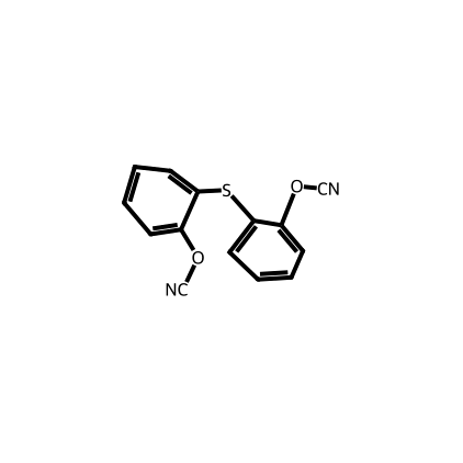 N#COc1ccccc1Sc1ccccc1OC#N